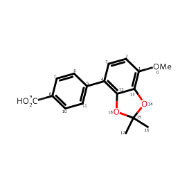 COc1ccc(-c2ccc(C(=O)O)cc2)c2c1OC(C)(C)O2